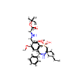 CCCC[C@]1(CC)CS(O)(O)c2cc(CNCC(=O)OC(C)(C)C)c(OC)cc2[C@H](c2ccccc2)N1